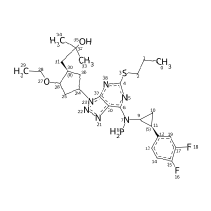 CCCSc1nc(N(P)C2C[C@H]2c2ccc(F)c(F)c2)c2nnn(C3CC(OCC)[C@@H](CC(C)(C)O)C3)c2n1